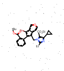 CCOC(=O)c1c(C2CC2)nc(CC)n1Cc1c2ccocc-2c(Br)c1-c1ccccc1C(=O)OC(C)(C)C